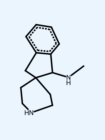 CNC1c2ccccc2CC12CCNCC2